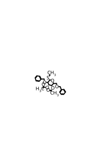 CCS[C@@H]1OC(COCc2ccccc2)[C@H](OC(C)=O)[C@H](OC(C)=O)C1OCc1ccccc1